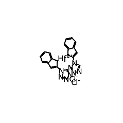 C1=C(n2cnnn2)[CH]([Hf+2][CH]2C(n3cnnn3)=Cc3ccccc32)c2ccccc21.[Cl-].[Cl-]